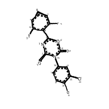 O=c1nc(-c2c(F)cccc2F)oc(=O)n1-c1ccc(Cl)c(Cl)c1